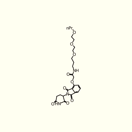 CCCOCCOCCOCCCNC(=O)COc1cccc2c1C(=O)N(C1CCC(=O)NC1=O)C2=O